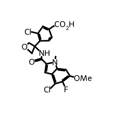 COc1cc2c(cc(C(=O)NC3(c4ccc(C(=O)O)cc4Cl)COC3)n2C)c(Cl)c1F